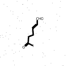 O=C/C=C/CCC(=O)I